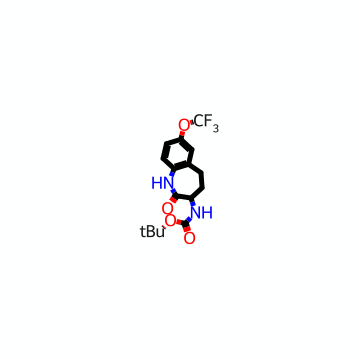 CC(C)(C)OC(=O)NC1CCc2cc(OC(F)(F)F)ccc2NC1=O